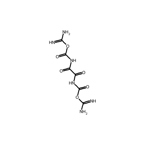 N=C(N)OC(=O)NC(=O)C(=O)NC(=O)OC(=N)N